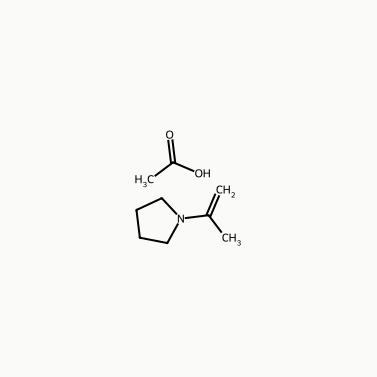 C=C(C)N1CCCC1.CC(=O)O